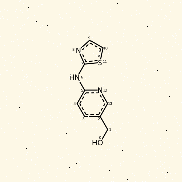 OCc1ccc(Nc2nccs2)nc1